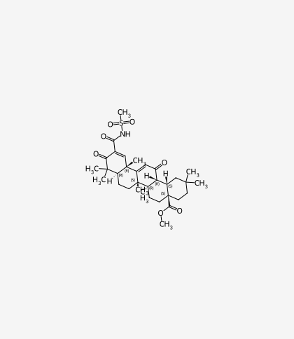 COC(=O)[C@]12CCC(C)(C)C[C@H]1[C@H]1C(=O)C=C3[C@@]4(C)C=C(C(=O)NS(C)(=O)=O)C(=O)C(C)(C)[C@@H]4CC[C@@]3(C)[C@]1(C)CC2